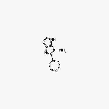 Nc1c(-c2ccccc2)nn2cc[nH]c12